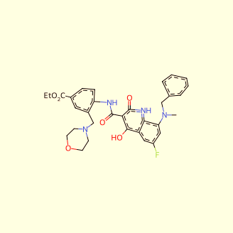 CCOC(=O)c1ccc(NC(=O)c2c(O)c3cc(F)cc(N(C)Cc4ccccc4)c3[nH]c2=O)c(CN2CCOCC2)c1